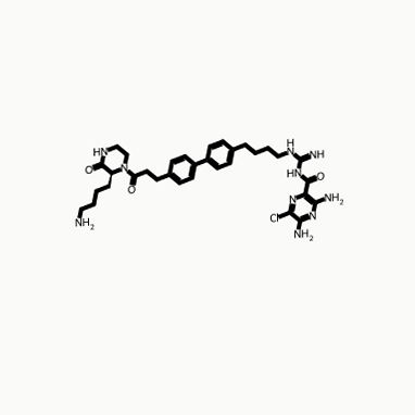 N=C(NCCCCc1ccc(-c2ccc(CCC(=O)N3CCNC(=O)[C@@H]3CCCCN)cc2)cc1)NC(=O)c1nc(Cl)c(N)nc1N